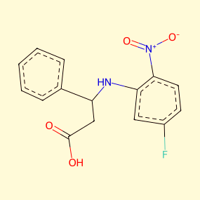 O=C(O)CC(Nc1cc(F)ccc1[N+](=O)[O-])c1ccccc1